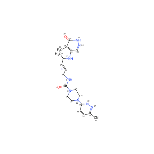 CC(/C=C/CNC(=O)N1CCN(c2ccc(C#N)nn2)CC1)Nc1cn[nH]c(=O)c1C(F)(F)F